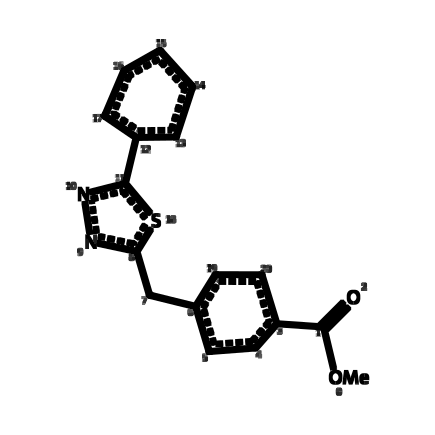 COC(=O)c1ccc(Cc2nnc(-c3ccccc3)s2)cc1